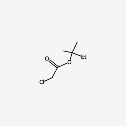 CCC(C)(C)OC(=O)CCl